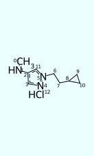 CNc1cnn(CCC2CC2)c1.Cl